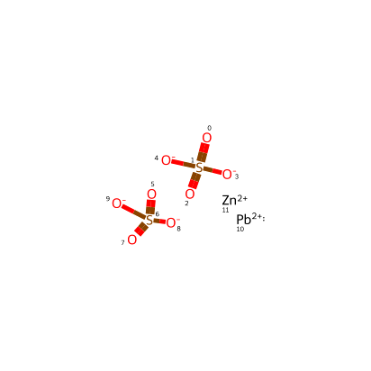 O=S(=O)([O-])[O-].O=S(=O)([O-])[O-].[Pb+2].[Zn+2]